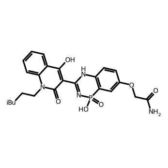 CCC(C)CCn1c(=O)c(C2=NP(=O)(O)c3cc(OCC(N)=O)ccc3N2)c(O)c2ccccc21